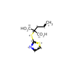 C=CCC(Sc1nccs1)(C(=O)O)C(=O)O